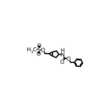 CS(=O)(=O)OCC1C2CC(NC(=O)OCc3ccccc3)CC12